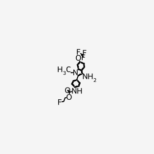 CCn1c(-c2ccc(NC(=O)OCCF)cc2)c(N)c2ccc(OC(F)(F)F)cc21